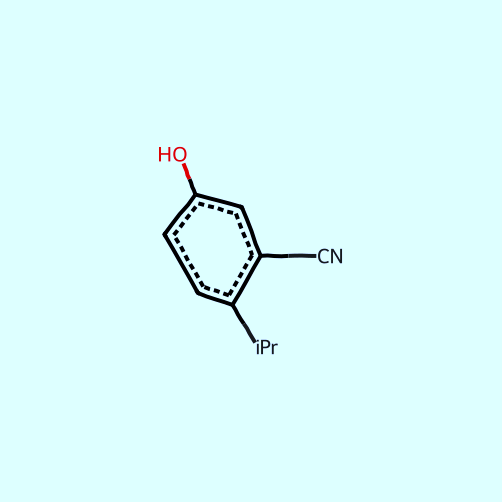 CC(C)c1ccc(O)cc1C#N